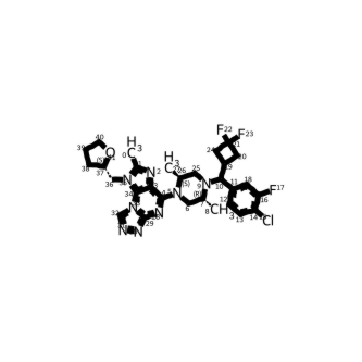 Cc1nc2c(N3C[C@@H](C)N(C(c4ccc(Cl)c(F)c4)C4CC(F)(F)C4)C[C@@H]3C)nc3nncn3c2n1C[C@@H]1CCCO1